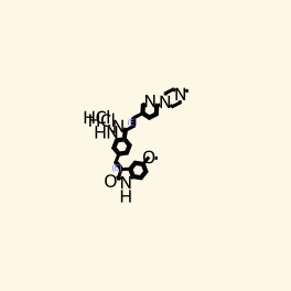 COc1ccc2c(c1)/C(=C\c1ccc3c(/C=C/c4ccc(N5CCN(C)CC5)nc4)n[nH]c3c1)C(=O)N2.Cl.Cl